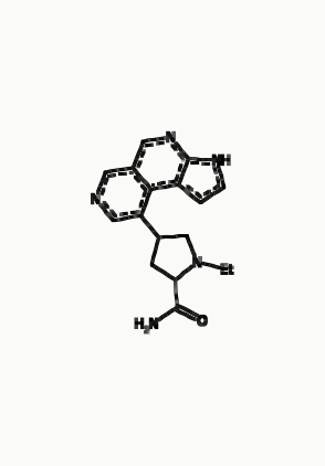 CCN1CC(c2cncc3cnc4[nH]ccc4c23)CC1C(N)=O